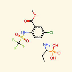 CCC(N)P(=O)(O)O.COC(=O)c1cc(Cl)ccc1NS(=O)(=O)C(F)(F)F